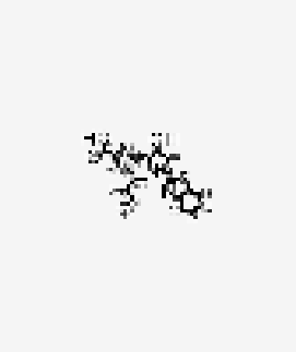 C[C@H](C=O)C(CN1C[C@H](O)C[C@H]1c1nc2ccccc2s1)n1cc(C(=O)O)nn1